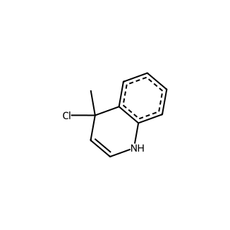 CC1(Cl)C=CNc2ccccc21